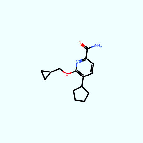 NC(=O)c1ccc(C2CCCC2)c(OCC2CC2)n1